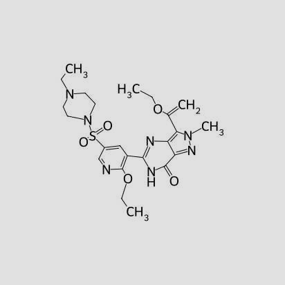 C=C(OCC)c1c2nc(-c3cc(S(=O)(=O)N4CCN(CC)CC4)cnc3OCC)[nH]c(=O)c2nn1C